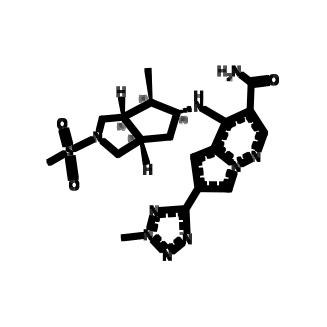 C[C@@H]1[C@H]2CN(S(C)(=O)=O)C[C@H]2C[C@H]1Nc1c(C(N)=O)cnn2cc(-c3nnn(C)n3)cc12